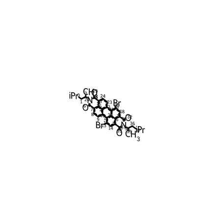 CC(C)CC(C)N1C(=O)c2ccc3c4c(Br)cc5c6c(cc(Br)c(c7ccc(c2c37)C1=O)c64)C(=O)N(C(C)CC(C)C)C5=O